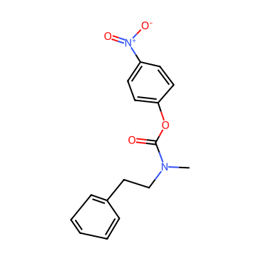 CN(CCc1ccccc1)C(=O)Oc1ccc([N+](=O)[O-])cc1